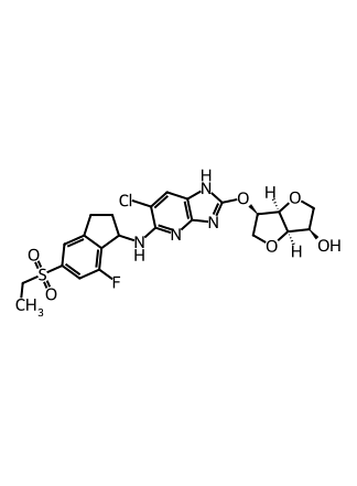 CCS(=O)(=O)c1cc(F)c2c(c1)CCC2Nc1nc2nc(O[C@@H]3CO[C@H]4[C@@H]3OC[C@H]4O)[nH]c2cc1Cl